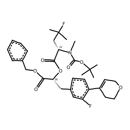 CN(C(=O)OC(C)(C)C)[C@@H](CC(C)(C)F)C(=O)O[C@H](Cc1ccc(C2=CCOCC2)c(F)c1)C(=O)OCc1ccccc1